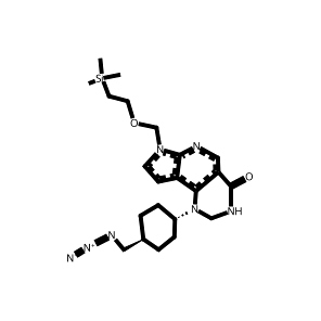 C[Si](C)(C)CCOCn1ccc2c3c(cnc21)C(=O)NCN3[C@H]1CC[C@H](CN=[N+]=[N-])CC1